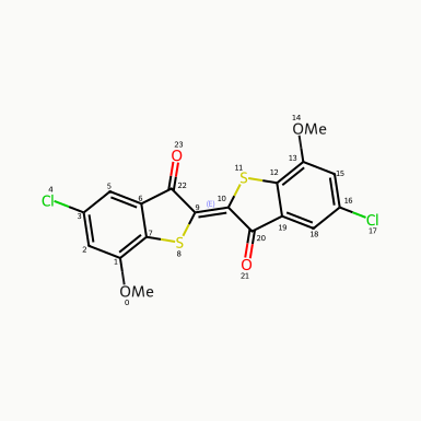 COc1cc(Cl)cc2c1S/C(=C1/Sc3c(OC)cc(Cl)cc3C1=O)C2=O